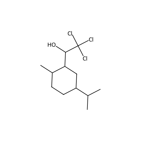 CC(C)C1CCC(C)C(C(O)C(Cl)(Cl)Cl)C1